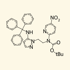 CC(C)(C)OC(=O)N(CCn1nccc1NC(c1ccccc1)(c1ccccc1)c1ccccc1)c1ccc([N+](=O)[O-])cn1